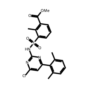 COC(=O)c1cccc(S(=O)(=O)Nc2nc(Cl)cc(-c3c(C)cccc3C)n2)c1C